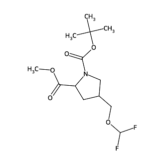 COC(=O)C1CC(COC(F)F)CN1C(=O)OC(C)(C)C